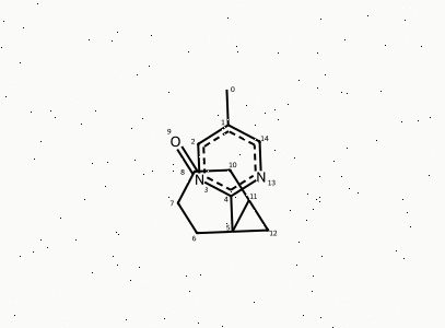 Cc1cnc(C23CCC(=O)CC2C3)nc1